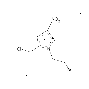 O=[N+]([O-])c1cc(CCl)n(CCBr)n1